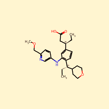 CC[C@H](CC(=O)O)c1ccc([C@@H](CC)C2CCOCC2)c(Nc2ccc(COC)nc2)c1